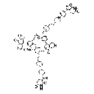 COc1cc(-c2cn(C)c(=O)c3cnccc23)cc(F)c1CN1CCC(CCC2CCN(c3ccc(NC4CCC(=O)NC4=O)cc3)CC2)C(Cn2cc(-c3ccc(CN4CCC(CCC5CCN(c6ccc(NC7CCC(=O)NC7=O)cc6)CC5)CC4)c(OC(F)(F)F)c3)c3ccncc3c2=O)C1